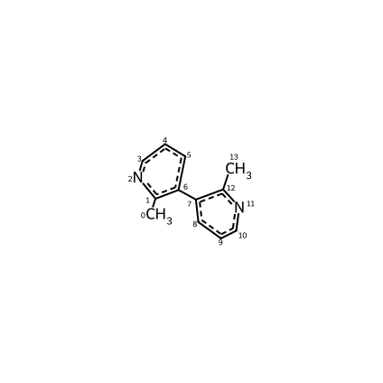 Cc1ncccc1-c1cccnc1C